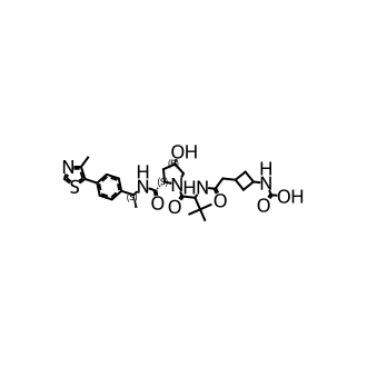 Cc1ncsc1-c1ccc([C@H](C)NC(=O)[C@@H]2C[C@@H](O)CN2C(=O)C(NC(=O)CC2CC(NC(=O)O)C2)C(C)(C)C)cc1